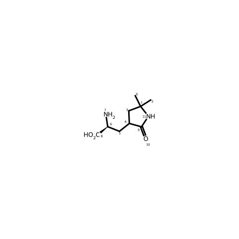 CC1(C)CC(C[C@H](N)C(=O)O)C(=O)N1